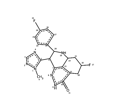 Cn1ncnc1C1c2n[nH]c(=O)c3c2C(CC(F)C3)NC1c1ccc(F)cc1